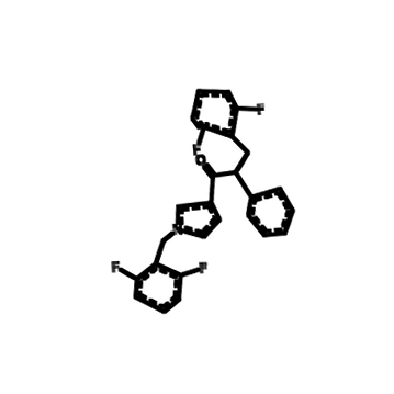 O=C(c1ccn(Cc2c(F)cccc2F)c1)C(Cc1c(F)cccc1F)c1ccccc1